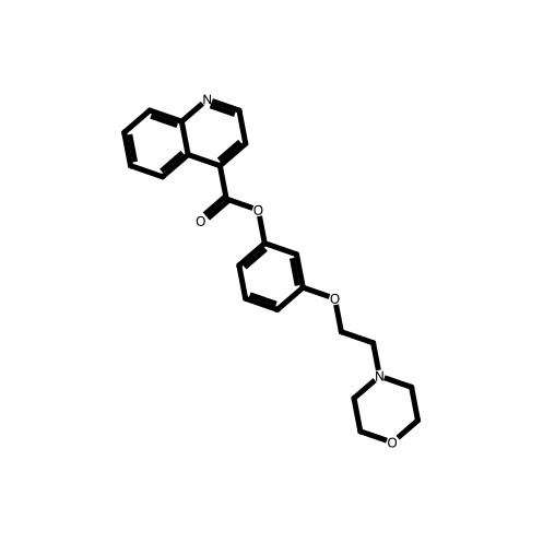 O=C(Oc1cccc(OCCN2CCOCC2)c1)c1ccnc2ccccc12